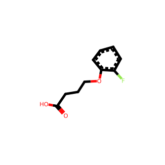 O=C(O)CCCOc1ccccc1F